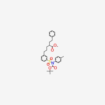 COC(=O)C(CCCc1cccc(S(=O)(=O)N(C(=O)OC(C)(C)C)c2ccc(C)cc2)c1)CCc1ccccc1